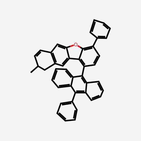 CC1C=Cc2cc3oc4c(-c5ccccc5)ccc(-c5c6ccccc6c(-c6ccccc6)c6ccccc56)c4c3cc2C1